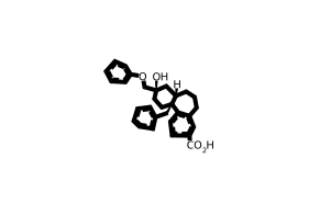 O=C(O)c1ccc2c(c1)CCC[C@H]1C[C@@](O)(COc3ccccc3)CC[C@@]21Cc1ccccc1